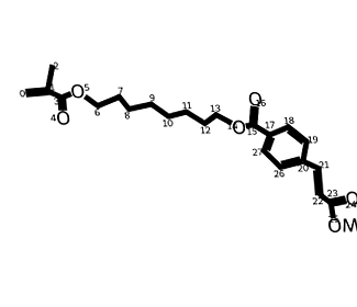 C=C(C)C(=O)OCCCCCCCCOC(=O)c1ccc(C=CC(=O)OC)cc1